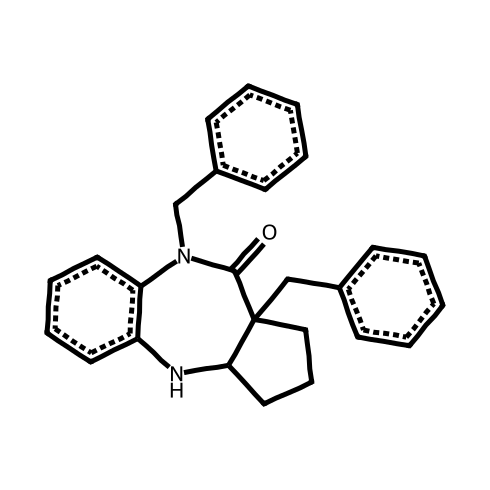 O=C1N(Cc2ccccc2)c2ccccc2NC2CCCC12Cc1ccccc1